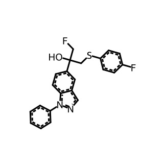 OC(CF)(CSc1ccc(F)cc1)c1ccc2c(cnn2-c2ccccc2)c1